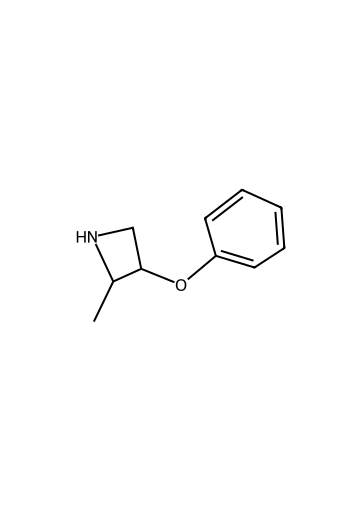 CC1NCC1Oc1ccccc1